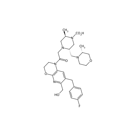 C[C@@H]1COCCN1C[C@H]1CN(C(=O)O)[C@H](C)CN1CC(=O)N1CCOc2nc(CO)c(Cc3ccc(F)cc3)cc21